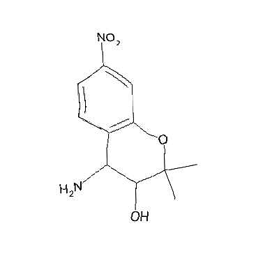 CC1(C)Oc2cc([N+](=O)[O-])ccc2C(N)C1O